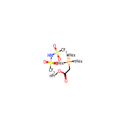 CCCCCC[PH](CCCCCC)(CCCCCC)CC(=O)OCCC.O=S(=O)(NS(=O)(=O)C(F)(F)F)C(F)(F)F